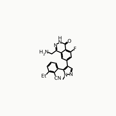 CCc1cccc(-c2c(-c3cc(F)c4c(=O)[nH]nc(CN)c4c3)cnn2C)c1C#N